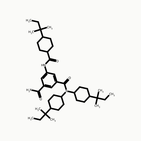 CCC(C)(C)C1CCC(C(=O)Nc2cc(C(N)=O)cc(C(=O)N(C3CCC(C(C)(C)CC)CC3)C3CCC(C(C)(C)CC)CC3)c2)CC1